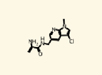 C=C(N)C(=O)NCc1cnc2c(c1)c(Cl)cn2C